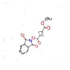 CC(C)(C)OC(=O)C12CC(C(=O)ON3C(=O)c4ccccc4C3=O)(C1)C2